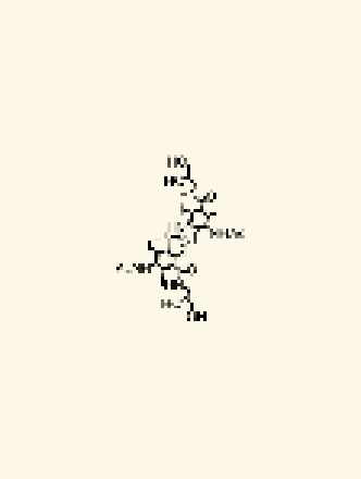 CC(=O)Nc1c(I)c(NC(=O)Nc2c(I)c(NC(C)=O)c(I)c(C(=O)NCC(O)CO)c2I)c(I)c(C(=O)NCC(O)CO)c1I